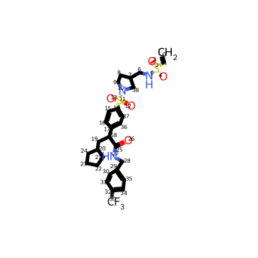 C=CS(=O)(=O)NCC1CCN(S(=O)(=O)c2ccc(C(CC3CCCC3)C(=O)NCc3ccc(C(F)(F)F)cc3)cc2)C1